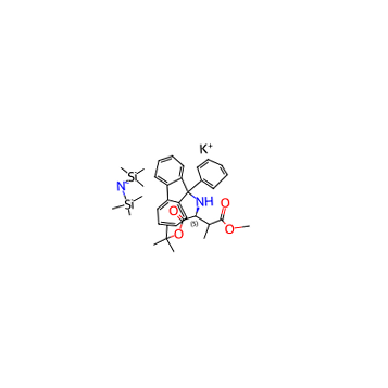 COC(=O)C(C)[C@H](NC1(c2ccccc2)c2ccccc2-c2ccccc21)C(=O)OC(C)(C)C.C[Si](C)(C)[N-][Si](C)(C)C.[K+]